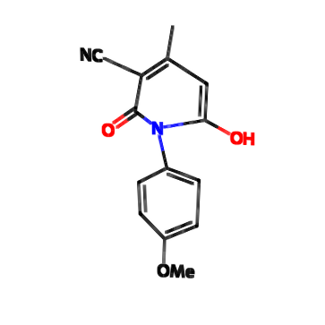 COc1ccc(-n2c(O)cc(C)c(C#N)c2=O)cc1